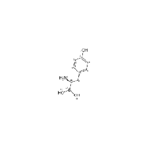 N[C@@H](Cc1ccc(O)cc1)B(O)O